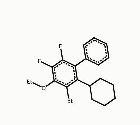 CCOc1c(F)c(F)c(-c2ccccc2)c(C2CCCCC2)c1CC